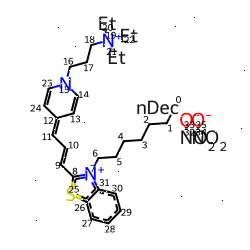 CCCCCCCCCCCCCCCC[n+]1c(C=CC=C2C=CN(CCC[N+](CC)(CC)CC)C=C2)sc2ccccc21.O=[N+]([O-])[O-].O=[N+]([O-])[O-]